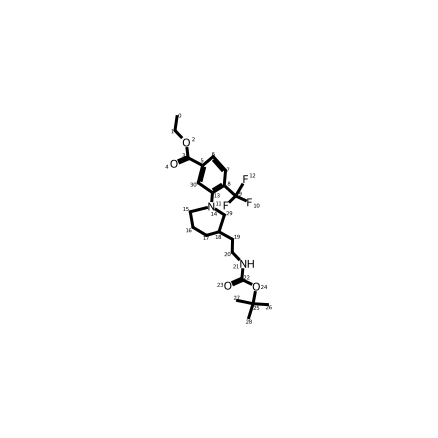 CCOC(=O)c1ccc(C(F)(F)F)c(N2CCCC(CCNC(=O)OC(C)(C)C)C2)c1